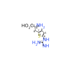 N=C(N)Nc1ccc(CC(N)C(=O)O)s1